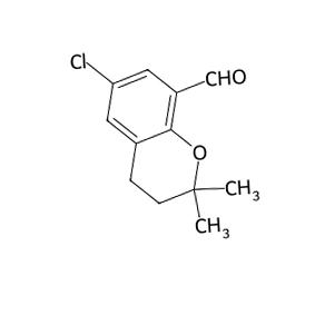 CC1(C)CCc2cc(Cl)cc(C=O)c2O1